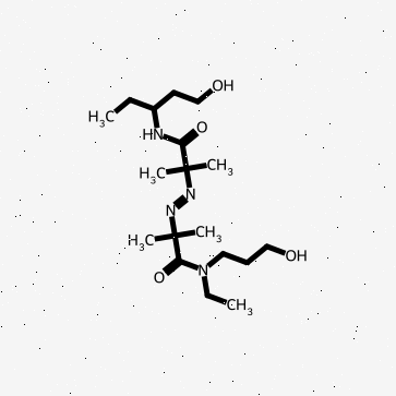 CCC(CCO)NC(=O)C(C)(C)N=NC(C)(C)C(=O)N(CC)CCCO